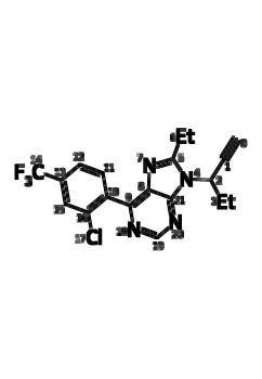 C#CC(CC)n1c(CC)nc2c(-c3ccc(C(F)(F)F)cc3Cl)ncnc21